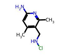 Cc1cc(N)nc(C)c1CNCl